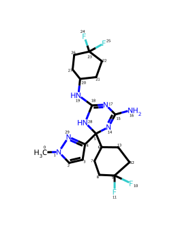 Cn1ccc(C2(C3CCC(F)(F)CC3)N=C(N)N=C(NC3CCC(F)(F)CC3)N2)n1